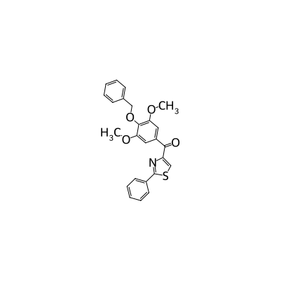 COc1cc(C(=O)c2csc(-c3ccccc3)n2)cc(OC)c1OCc1ccccc1